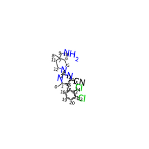 Cc1nc(N2CCC(C)(CN)CC2)nc(C#N)c1-c1cccc(Cl)c1Cl